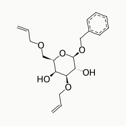 C=CCOC[C@H]1O[C@@H](OCc2ccccc2)[C@H](O)[C@@H](OCC=C)[C@H]1O